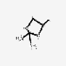 CC1COC(N)(N)O1